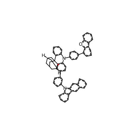 c1cc(-c2ccc(N(c3ccc(-c4cccc5c4oc4ccccc45)cc3)c3ccccc3C34CC5C[C@H](C3)C[C@H](C5)C4)cc2)cc(-n2c3ccccc3c3cc4ccccc4cc32)c1